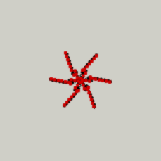 CCCCCCCCCCC[C@H]1CC[C@H](CSc2c(SC[C@H]3CC[C@H](CCCCCCCCCCC)CC3)c(SC[C@H]3CC[C@H](CCCCCCCCCCC)CC3)c(SC[C@H]3CC[C@H](CCCCCCCCCCC)CC3)c(SC[C@H]3CC[C@H](CCCCCCCCCCC)CC3)c2SC[C@H]2CC[C@H](CCCCCCCCCCC)CC2)CC1